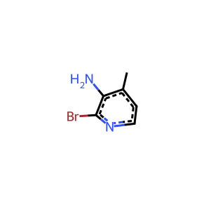 Cc1ccnc(Br)c1N